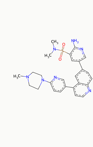 CN1CCN(c2ccc(-c3ccnc4ccc(-c5cnc(N)c(S(=O)(=O)N(C)C)c5)cc34)cn2)CC1